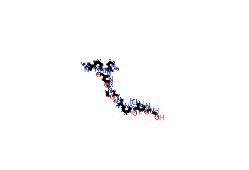 CN1CCCC12CN(c1nc3nc(N4CCOC(Cn5cc(-c6cccc(NC(=O)c7cc8oc(NCCO)nc8nc7Cl)n6)cn5)C4)oc3cc1C(=O)Nc1cccc(-c3cnn(C)c3)n1)C2